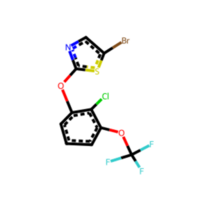 FC(F)(F)Oc1cccc(Oc2ncc(Br)s2)c1Cl